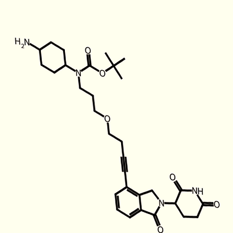 CC(C)(C)OC(=O)N(CCCOCCC#Cc1cccc2c1CN(C1CCC(=O)NC1=O)C2=O)C1CCC(N)CC1